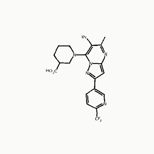 Cc1nc2cc(-c3ccc(C(F)(F)F)nc3)nn2c(N2CCCC(C(=O)O)C2)c1C(C)C